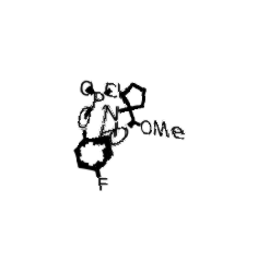 COC(=O)C1(NP(=O)(Cl)Oc2ccc(F)cc2)CCCC1